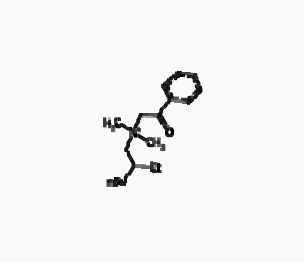 CCCCC(CC)C[N+](C)(C)CC(=O)c1ccccc1